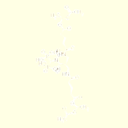 CC(=O)OC(C)OC(=O)CCCC(=O)NCC(CNC(=O)CCCC(=O)OC(C)OC(C)=O)C(=O)N(C)C(P(=O)(O)O)P(=O)(O)O